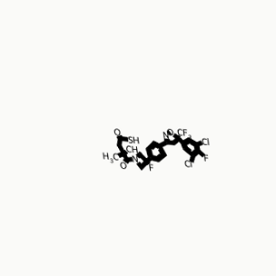 CC(C)(CC(=O)S)C(=O)N1CC(F)(c2ccc(C3=NO[C@@](c4cc(Cl)c(F)c(Cl)c4)(C(F)(F)F)C3)cc2)C1